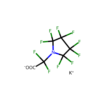 O=C([O-])C(F)(F)N1C(F)(F)C(F)(F)C(F)(F)C1(F)F.[K+]